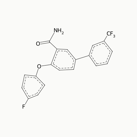 NC(=O)c1cc(-c2cccc(C(F)(F)F)c2)ccc1Oc1ccc(F)cc1